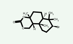 CC1(C)[C@@H](Br)CC[C@@]2(C)[C@H]1CC[C@@]1(C)OC(=O)OC[C@@H]21